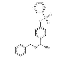 CC(C)(C)C(OCc1ccccc1)c1ccc(OS(=O)(=O)c2ccccc2)cc1